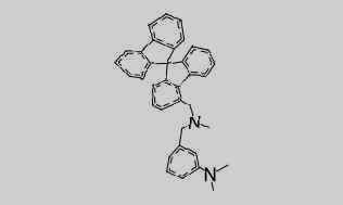 CN(Cc1cccc(N(C)C)c1)Cc1cccc2c1-c1ccccc1C21c2ccccc2-c2ccccc21